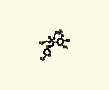 CCOP(=O)(OCC)C(=CNc1ccc(C)nn1)c1cc(C)c(O)c(OC)c1